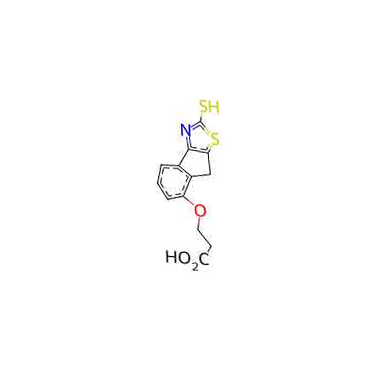 O=C(O)CCOc1cccc2c1Cc1sc(S)nc1-2